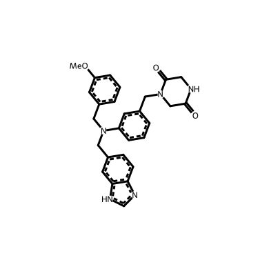 COc1cccc(CN(Cc2ccc3nc[nH]c3c2)c2cccc(CN3CC(=O)NCC3=O)c2)c1